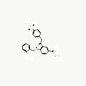 CCS(=O)(=O)c1ccc(Cc2nn(Cc3ccccc3C(F)(F)F)c3ccc(C(N)=O)cc23)cc1